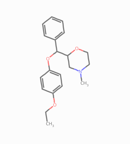 CCOc1ccc(OC(c2ccccc2)C2CN(C)CCO2)cc1